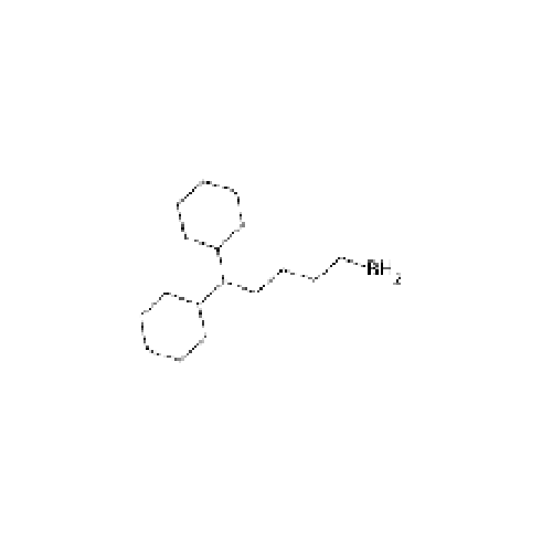 BCCCCC(C1CCCCC1)C1CCCCC1